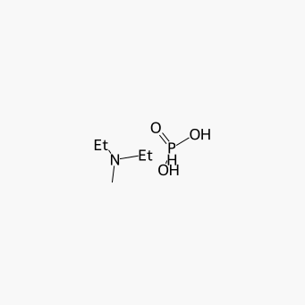 CCN(C)CC.O=[PH](O)O